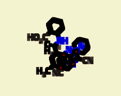 Cc1cc([C@@H](C)Nc2ccccc2C(=O)O)c2nc(N3C4CC3CN(c3ccc(C#N)cc3)C4)c(C#N)nc2c1